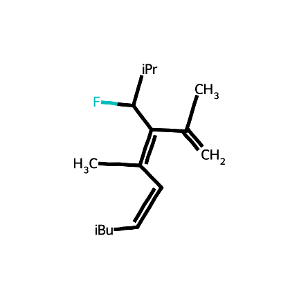 C=C(C)/C(=C(C)\C=C/C(C)CC)C(F)C(C)C